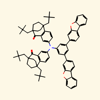 CC(C)(C)CC12CCC(CC(C)(C)C)(CC1)c1ccc(N(c3cc(-c4ccc5c(c4)oc4ccccc45)cc(-c4ccc5c(c4)oc4ccccc45)c3)c3ccc4c(c3)C(=O)C3(CC(C)(C)C)CCC4(CC(C)(C)C)CC3)cc1C2=O